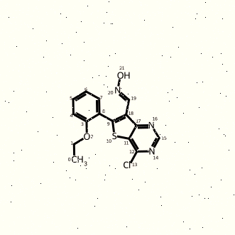 CCOc1ccccc1-c1sc2c(Cl)ncnc2c1/C=N/O